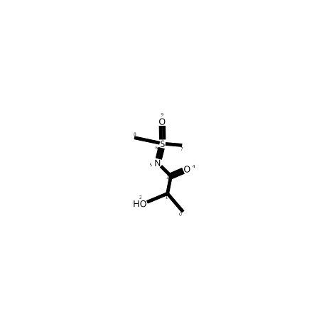 CC(O)C(=O)N=S(C)(C)=O